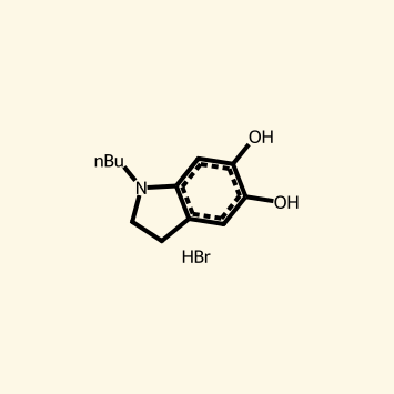 Br.CCCCN1CCc2cc(O)c(O)cc21